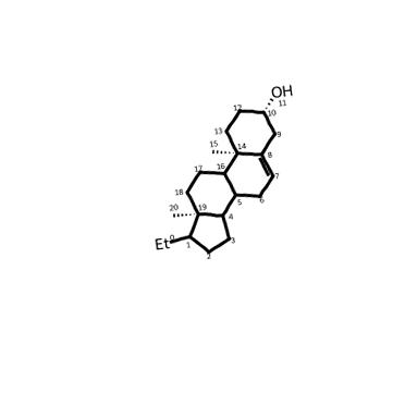 CCC1CCC2C3CC=C4C[C@@H](O)CC[C@]4(C)C3CC[C@]12C